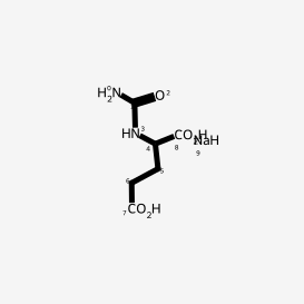 NC(=O)NC(CCC(=O)O)C(=O)O.[NaH]